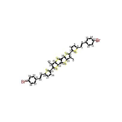 Cc1c(-c2ccc(/C=C/c3ccc(Br)cc3)s2)sc2c1sc1c3sc(-c4ccc(/C=C/c5ccc(Br)cc5)s4)c(C)c3sc21